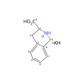 O=C(O)C1Cc2ccccc2CN1.[KH]